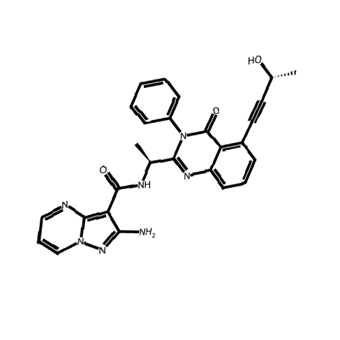 C[C@H](NC(=O)c1c(N)nn2cccnc12)c1nc2cccc(C#C[C@@H](C)O)c2c(=O)n1-c1ccccc1